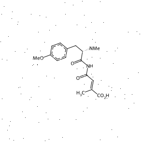 CN[C@@H](Cc1ccc(OC)cc1)C(=O)NC(=O)C=C(C)C(=O)O